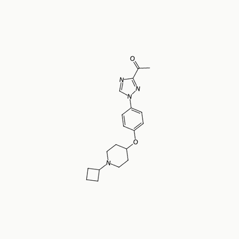 CC(=O)c1ncn(-c2ccc(OC3CCN(C4CCC4)CC3)cc2)n1